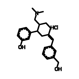 CN(C)CC1CC/C(=C/c2cccc(CO)c2)CC1c1cccc(O)c1.Cl